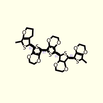 CC1S/C(=C2/S/C(=c3/s/c(=c4/s/c(=C5/SC(C)C6=C5CCCO6)c5c4OCCO5)c4c3OCCO4)C3OCCOC23)C2=C1OCCO2